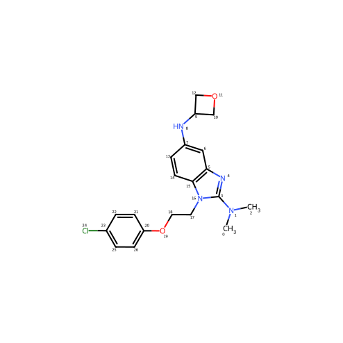 CN(C)c1nc2cc(NC3COC3)ccc2n1CCOc1ccc(Cl)cc1